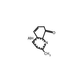 Cc1ccc2c(n1)C(=O)CC=C2.[AlH3]